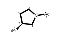 CC(=O)N1CC[C@H](C(C)C)C1